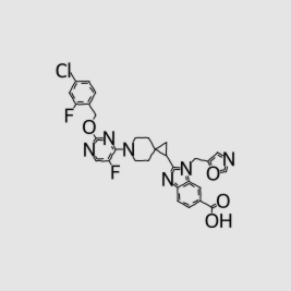 O=C(O)c1ccc2nc(C3CC34CCN(c3nc(OCc5ccc(Cl)cc5F)ncc3F)CC4)n(Cc3cnco3)c2c1